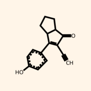 C#CC1=C(c2ccc(O)cc2)C2CCCC2C1=O